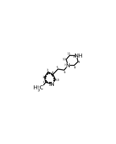 Cc1ccc(CCN2CCNCC2)cn1